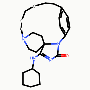 O=C1N=C(NC2CCCCC2)C23CCN(CCCCCCc4ccc(cc4)N12)CC3